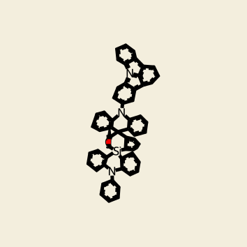 c1ccc(N2c3ccccc3[Si]3(c4ccccc42)c2ccccc2C2(c4ccccc4N(c4ccc5c(c4)c4cccc6c7ccccc7n5c64)c4ccccc42)c2ccccc23)cc1